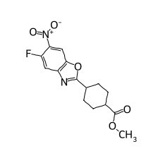 COC(=O)C1CCC(c2nc3cc(F)c([N+](=O)[O-])cc3o2)CC1